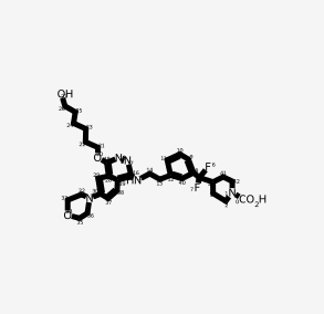 O=C(O)N1CCC(C(F)(F)c2cccc(CCNc3nnc(OCCCCCCO)c4cc(N5CCOCC5)ccc34)c2)CC1